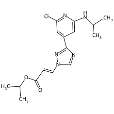 CC(C)Nc1cc(-c2ncn(C=CC(=O)OC(C)C)n2)cc(Cl)n1